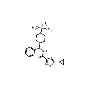 CC(C)(C)N1CCC(C(NC(=O)c2cc(C3CC3)on2)c2ccccc2)CC1